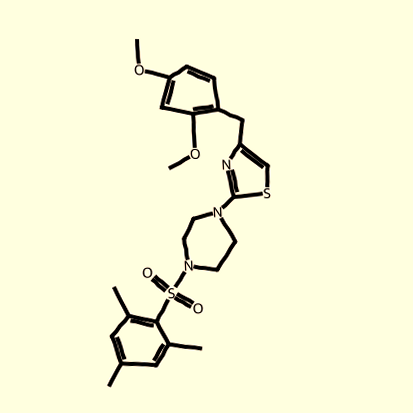 COc1ccc(Cc2csc(N3CCN(S(=O)(=O)c4c(C)cc(C)cc4C)CC3)n2)c(OC)c1